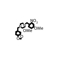 COc1cc(CN2CCN(Cc3ccc4c(c3)OCO4)CC2)c([N+](=O)[O-])cc1OC